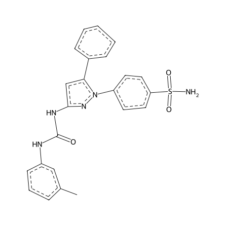 Cc1cccc(NC(=O)Nc2cc(-c3ccccc3)n(-c3ccc(S(N)(=O)=O)cc3)n2)c1